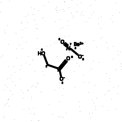 O=C([O-])CO.[Ba+2].[O]=[Al][O-]